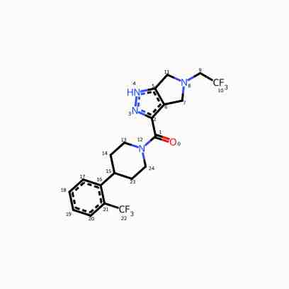 O=C(c1n[nH]c2c1CN(CC(F)(F)F)C2)N1CCC(c2ccccc2C(F)(F)F)CC1